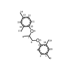 Cc1ccc(OCC(C)Oc2ccc(C)cc2C)c(C)c1